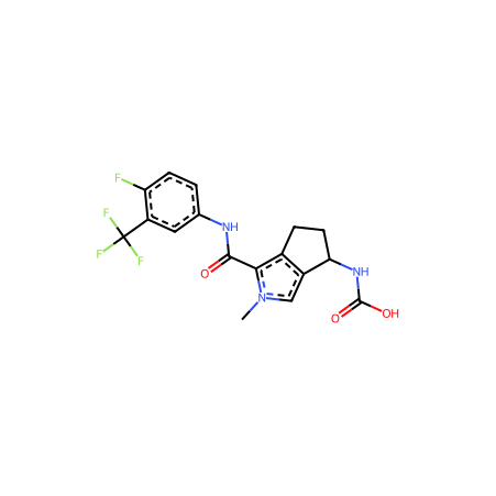 Cn1cc2c(c1C(=O)Nc1ccc(F)c(C(F)(F)F)c1)CCC2NC(=O)O